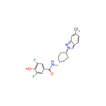 O=C(NC[C@H]1CC[C@H](n2cc3ccc(C(F)(F)F)cc3n2)CC1)c1cc(F)c(O)c(F)c1